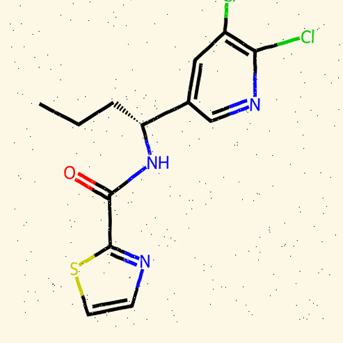 CCC[C@@H](NC(=O)c1nccs1)c1cnc(Cl)c(Cl)c1